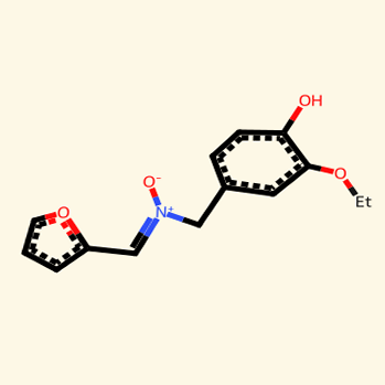 CCOc1cc(C[N+]([O-])=Cc2ccco2)ccc1O